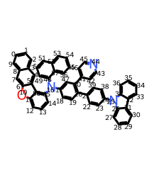 c1ccc2cc3c(cc2c1)oc1cccc(N(c2ccc(-c4ccc(-n5c6ccccc6c6ccccc65)cc4)c(-c4ccncc4)c2)c2cccc4ccccc24)c13